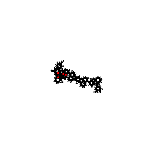 Cc1cc(N2c3ccc(-c4ccc5c6cc7c(cc6c6cccc4c65)c4ccc(-c5ccc6c(c5)C5(C)CCCCC5(C)N6c5ccnc(C)c5)c5c(-c6ccc8c(c6)C6(C)CCCCC6(C)N8c6ccnc(C)c6)ccc7c54)cc3C3(C)CCCCC23C)ccn1